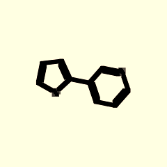 C1=C[N]C(c2cccnc2)=C1